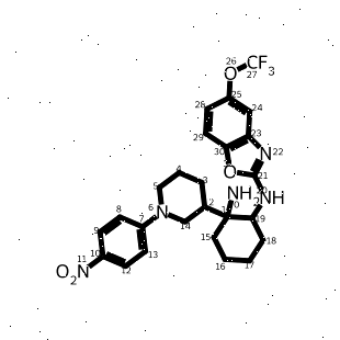 NC1(C2CCCN(c3ccc([N+](=O)[O-])cc3)C2)CCCCC1Nc1nc2cc(OC(F)(F)F)ccc2o1